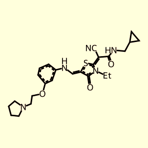 CCn1c(=C(C#N)C(=O)NCC2CC2)sc(=CNc2cccc(OCCN3CCCC3)c2)c1=O